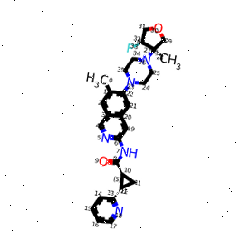 Cc1cc2cnc(NC(=O)[C@H]3C[C@@H]3c3ccccn3)cc2cc1N1CCN([C@]2(C)COC[C@@H]2F)CC1